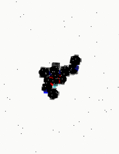 N#Cc1cc(-n2c3ccccc3c3cc(-c4ccnc(-c5ccccc5)c4)ccc32)c(-c2c(F)c(F)c(F)c(F)c2F)c(-n2c3ccccc3c3cc(-c4ccnc(-c5ccccc5)c4)ccc32)c1